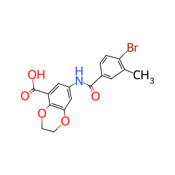 Cc1cc(C(=O)Nc2cc3c(c(C(=O)O)c2)OCCO3)ccc1Br